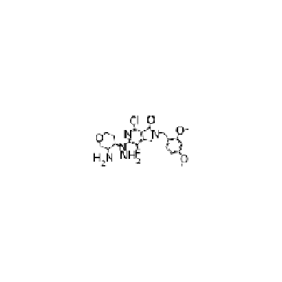 COc1ccc(CN2Cc3c(F)c(N(N)[C@@H]4CCOC[C@@H]4N)nc(Cl)c3C2=O)c(OC)c1